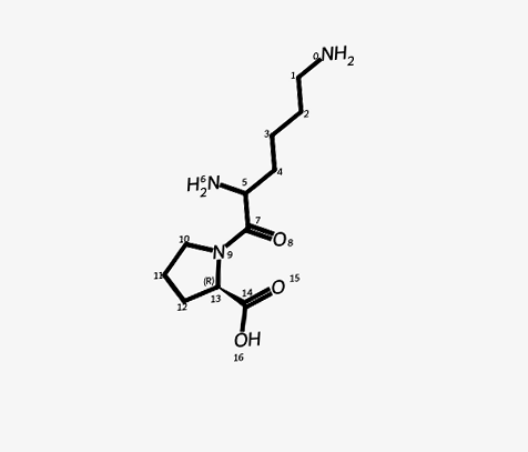 NCCCCC(N)C(=O)N1CCC[C@@H]1C(=O)O